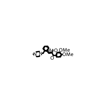 COc1ccc(C(=O)C(I)=Cc2ccccc2CN2CCN(C)CC2)c(OC)c1OC